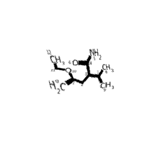 C=C(CC(C(N)=O)C(C)C)OCC